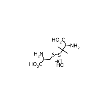 CC(C)(SSCC(N)C(=O)O)C(N)C(=O)O.Cl.Cl